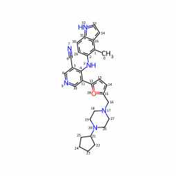 Cc1c(Nc2c(C#N)cncc2-c2ccc(CN3CCN(C4CCCC4)CC3)o2)ccc2[nH]ccc12